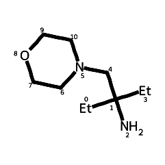 CCC(N)(CC)CN1CCOCC1